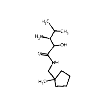 CC(C)[C@H](N)C(O)C(=O)NCC1(C)CCCC1